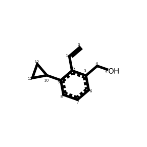 C=Cc1c([CH]O)cccc1C1CC1